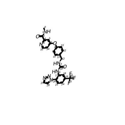 CNC(=O)c1cc(Oc2ccc(CNC(=O)Nc3cc(C(F)(F)F)ccc3-n3ccnn3)cc2)ccn1